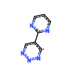 [c]1nnncc1-c1ncccn1